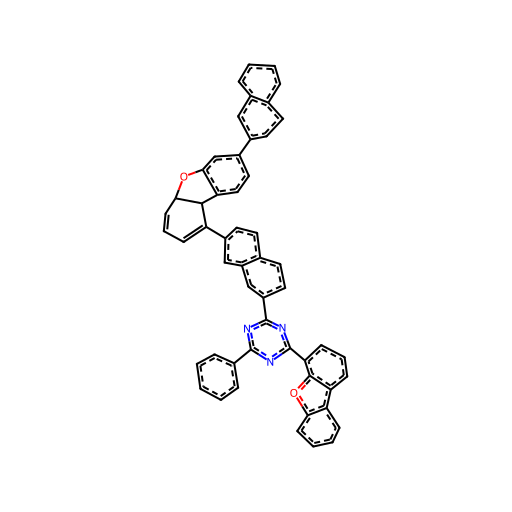 C1=CC2Oc3cc(-c4ccc5ccccc5c4)ccc3C2C(c2ccc3ccc(-c4nc(-c5ccccc5)nc(-c5cccc6c5oc5ccccc56)n4)cc3c2)=C1